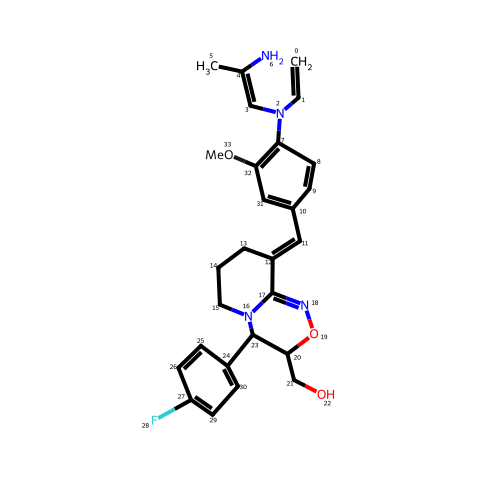 C=CN(/C=C(/C)N)c1ccc(/C=C2\CCCN3C2=NOC(CO)C3c2ccc(F)cc2)cc1OC